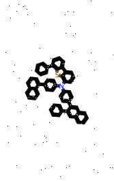 c1ccc(-c2cc3ccccc3cc2-c2ccc(N(c3ccc(-c4cccc5ccccc45)cc3)c3cccc4c3sc3c(-c5ccccc5)cccc34)cc2)cc1